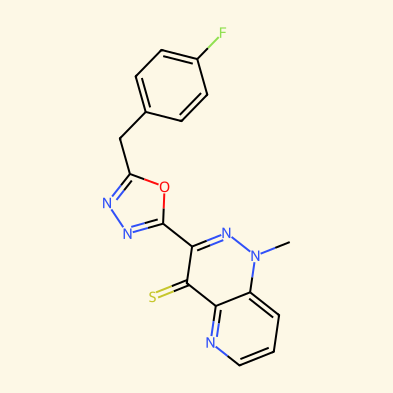 Cn1nc(-c2nnc(Cc3ccc(F)cc3)o2)c(=S)c2ncccc21